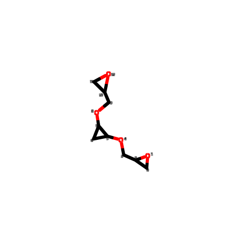 C1OC1COC1CC1OCC1CO1